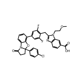 COCCn1c(Cc2c(F)cc(-c3cccc4c3OC3(c5ccc(Cl)cc5)CCC(=O)N43)cc2F)nc2ccc(C(=O)O)cc21